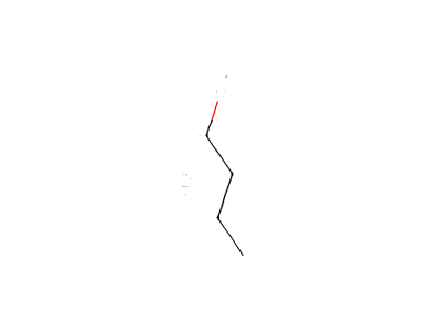 CCCC[O].[Zr]